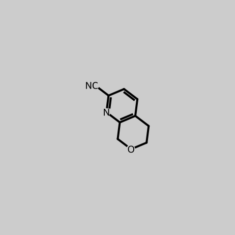 N#Cc1ccc2c(n1)COCC2